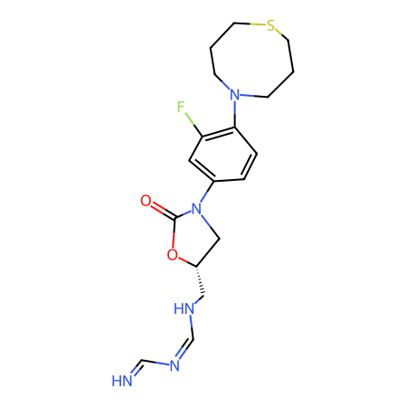 N=C/N=C\NC[C@H]1CN(c2ccc(N3CCCSCCC3)c(F)c2)C(=O)O1